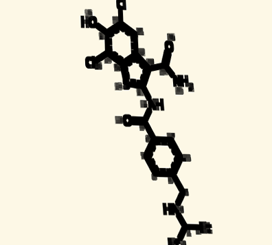 CCC(CC)NCc1ccc(C(=O)Nc2sc3c(Cl)c(O)c(Cl)cc3c2C(N)=O)cc1